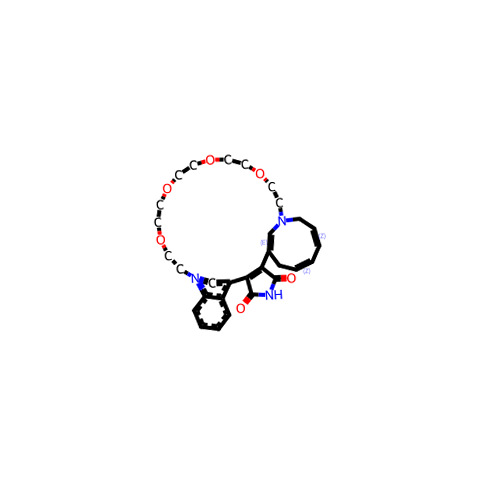 O=C1NC(=O)C2=C1/C1=C/N(C/C=C\C=C/C1)CCOCCOCCOCCOCCn1cc2c2ccccc21